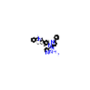 C[C@@H](c1ccccc1C(=O)O)N1CC(c2ccc(-n3c(-c4cccnc4N)nc4ccc(-c5ccccc5)nc43)cc2)C1